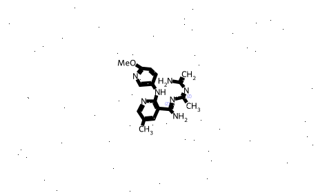 C=C(N)/N=C(C)\N=C(/N)c1cc(C)cnc1Nc1ccc(OC)nc1